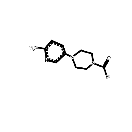 CCC(=O)N1CCN(c2ccc(N)nc2)CC1